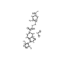 CNc1cc[n+](CCNC(=O)c2ccn3c(-c4c(C)noc4C)cnc3c2)c(C)c1.O=C[O-]